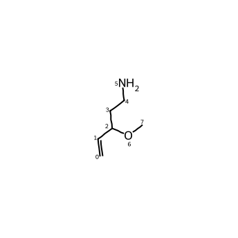 C=CC(CCN)OC